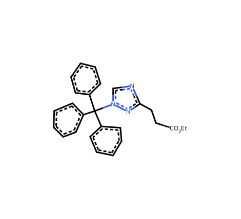 CCOC(=O)CCc1ncn(C(c2ccccc2)(c2ccccc2)c2ccccc2)n1